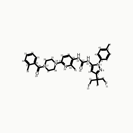 Cc1ccc(-n2nc(C(C)(CF)CF)cc2NC(=O)Nc2ccc(N3CCN(C(=O)c4ccccc4C)CC3)nc2C)cc1